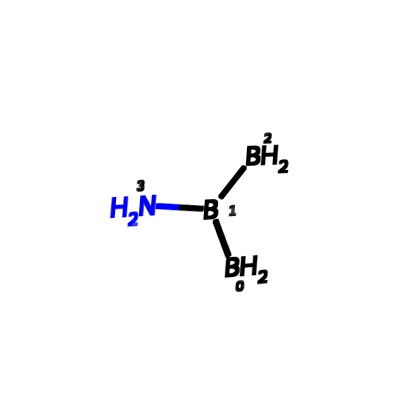 BB(B)N